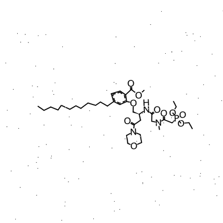 CCCCCCCCCCCCc1ccc(C(=O)OC)c(OC[C@H](CC(=O)N2CCOCC2)NC(=O)CN(C)C(=O)CP(=O)(OCC)OCC)c1